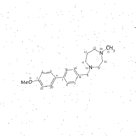 COc1ccc(-c2ccc(CN3CCCN(C)CC3)cc2)cc1